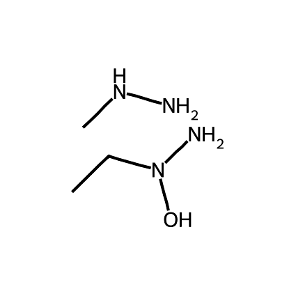 CCN(N)O.CNN